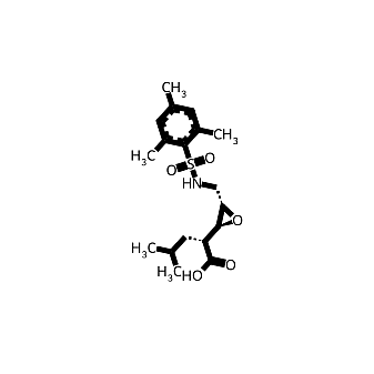 Cc1cc(C)c(S(=O)(=O)NC[C@@H]2O[C@H]2[C@@H](CC(C)C)C(=O)O)c(C)c1